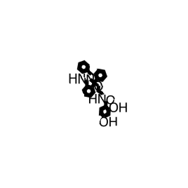 N=C1c2ccccc2C(OCCNC(=O)c2ccc(O)cc2O)(c2ccccc2)N1Cc1ccccc1